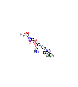 CC(C)c1ccccc1C1CN(Cc2cc(F)cc(F)c2)CCN1C1CC2(CCN(c3ccc(C(=O)NS(=O)(=O)c4ccc(NC[C@H]5CC[C@](C)(O)CC5)c([N+](=O)[O-])c4)c(Oc4cnc5[nH]ccc5c4)c3)CC2)C1